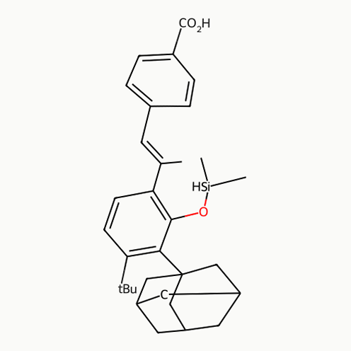 C/C(=C\c1ccc(C(=O)O)cc1)c1ccc(C(C)(C)C)c(C23CC4CC(CC(C4)C2)C3)c1O[SiH](C)C